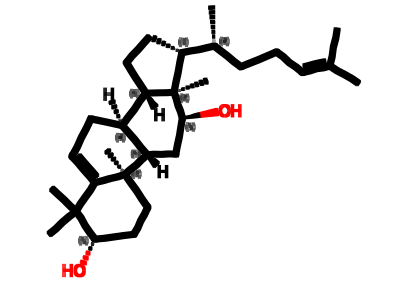 CC(C)=CCC[C@@H](C)[C@H]1CC[C@H]2[C@@H]3CC=C4C(C)(C)[C@@H](O)CC[C@]4(C)[C@H]3C[C@H](O)[C@]12C